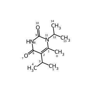 Cc1c(C(C)C)c(=O)[nH]c(=O)n1C(C)C